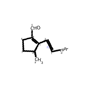 CCC/C=C/C1=C(C=O)CCC1C